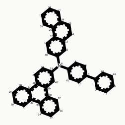 c1ccc(-c2ccc(N(c3ccc4c(ccc5ccccc54)c3)c3ccc4c5ccccc5c5ccccc5c4c3)cc2)cc1